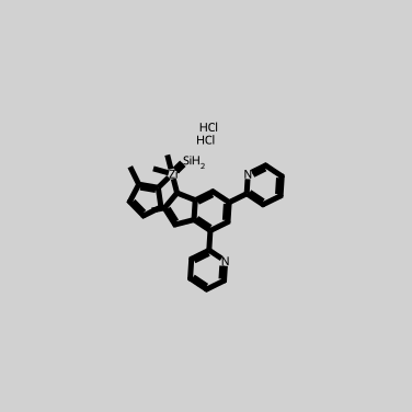 CC1=Cc2c(-c3ccccn3)cc(-c3ccccn3)cc2[CH]1[Zr]([CH3])([CH3])(=[SiH2])[C]1=C(C)C=CC1.Cl.Cl